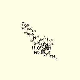 Cc1nc(C23CC4CC(C2)C(N/C(=N/C#N)C(C)(C)N2CCN(c5ccc(C(F)(F)F)cn5)CC2)C(C4)C3)no1